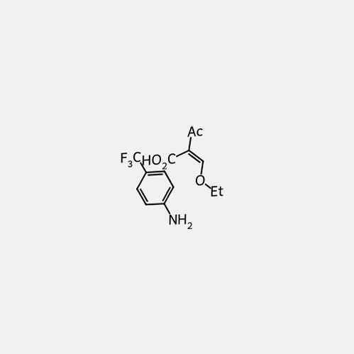 CCOC=C(C(C)=O)C(=O)O.Nc1ccc(C(F)(F)F)cc1